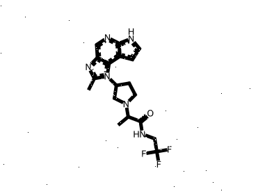 Cc1nc2cnc3[nH]ccc3c2n1C1CCN(C(C)C(=O)NCC(F)(F)F)C1